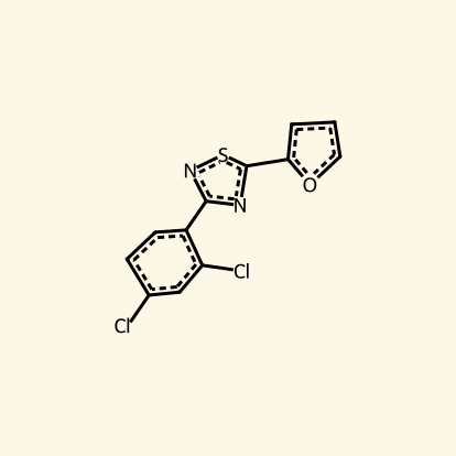 Clc1ccc(-c2nsc(-c3ccco3)n2)c(Cl)c1